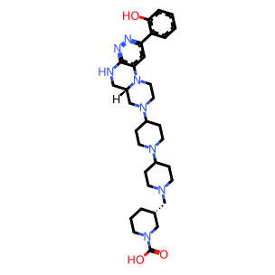 O=C(O)N1CCC[C@H](CN2CCC(N3CCC(N4CCN5c6cc(-c7ccccc7O)nnc6NC[C@H]5C4)CC3)CC2)C1